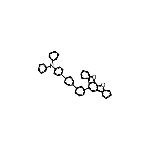 c1ccc(N(c2ccccc2)c2ccc(-c3ccc(-c4cccc(-c5cc6c7ccccc7oc6c6oc7ccccc7c56)c4)cc3)cc2)cc1